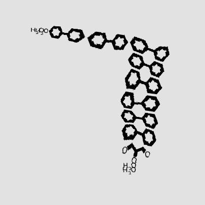 O.O.O.O.O=CC(=O)C=O.c1ccc(-c2ccccc2)cc1.c1ccc(-c2ccccc2)cc1.c1ccc(-c2ccccc2)cc1.c1ccc(-c2ccccc2)cc1.c1ccc(-c2ccccc2)cc1.c1ccc(-c2ccccc2)cc1.c1ccc(-c2ccccc2)cc1.c1ccc(-c2ccccc2)cc1